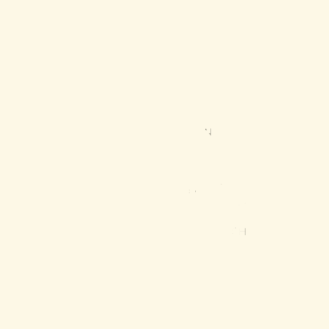 COC(=O)C1CCCN1CCc1ccccc1